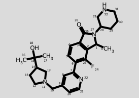 CC1c2c(ccc(-c3cc(CN4CCC(C(C)(C)O)C4)ccn3)c2F)C(=O)N1C1CCCNC1